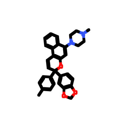 Cc1ccc(C2(c3ccc4c(c3)OCO4)C=Cc3c(cc(N4CCN(C)CC4)c4ccccc34)O2)cc1